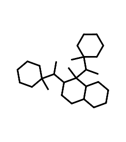 CC(C1CCC2CCCCC2C1(C)C(C)C1(C)CCCCC1)C1(C)CCCCC1